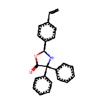 C=Cc1ccc(C2NC(c3ccccc3)(c3ccccc3)C(=O)O2)cc1